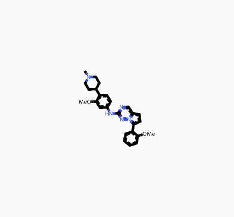 COc1ccccc1-c1ccc2cnc(Nc3ccc(C4CCN(C)CC4)c(OC)c3)nn12